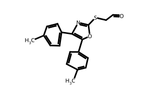 Cc1ccc(-c2nc(SCC=O)oc2-c2ccc(C)cc2)cc1